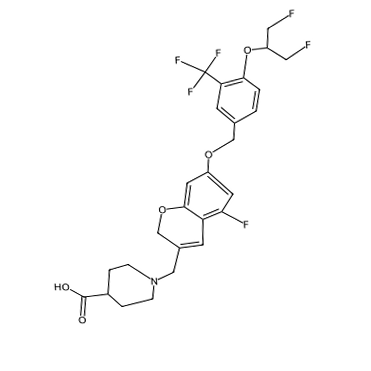 O=C(O)C1CCN(CC2=Cc3c(F)cc(OCc4ccc(OC(CF)CF)c(C(F)(F)F)c4)cc3OC2)CC1